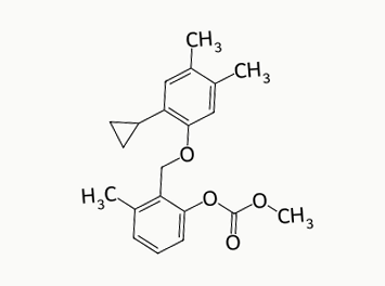 COC(=O)Oc1cccc(C)c1COc1cc(C)c(C)cc1C1CC1